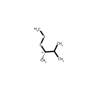 CSS[C@@H](C)C(C)C